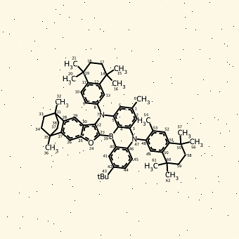 Cc1cc2c3c(c1)N(c1ccc4c(c1)C(C)(C)CCC4(C)C)c1c(oc4cc5c(cc14)C1(C)CCC5(C)CC1)B3c1cc(C(C)(C)C)ccc1N2c1cc2c(cc1C)C(C)(C)CCC2(C)C